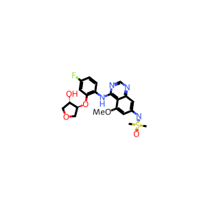 COc1cc(N=S(C)(C)=O)cc2ncnc(Nc3ccc(F)cc3O[C@H]3COC[C@@H]3O)c12